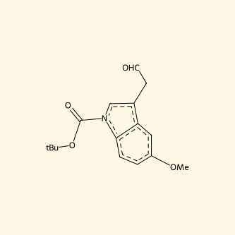 COc1ccc2c(c1)c(CC=O)cn2C(=O)OC(C)(C)C